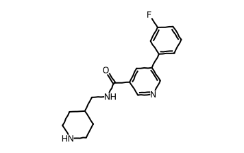 O=C(NCC1CCNCC1)c1cncc(-c2cccc(F)c2)c1